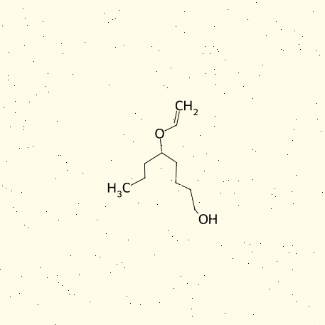 C=COC(CCC)CCCCO